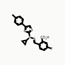 Cc1ccc(-c2csc(N(/N=C/c3ccc(F)cc3C(=O)O)C3CC3)n2)cc1